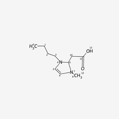 CCCCN1C=CN(C)C1CC(=O)O